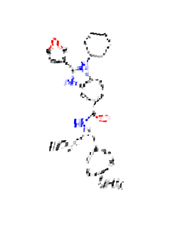 CC(=O)Nc1ccc(C[C@H](NC(=O)c2ccc3c(c2)nc(-c2ccoc2)n3C2CCCCC2)C(=O)O)cc1